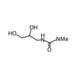 CNC(=O)NCC(O)CO